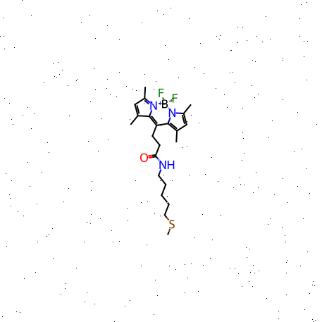 CSCCCCCNC(=O)CCC1=C2C(C)=CC(C)=[N+]2[B-](F)(F)n2c(C)cc(C)c21